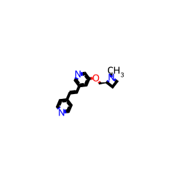 CN1CC[C@H]1COc1cncc(C=Cc2ccncc2)c1